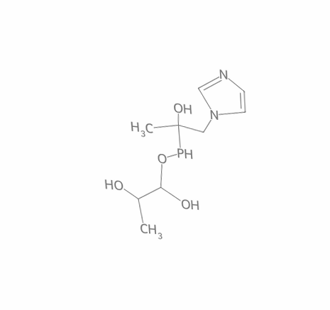 CC(O)C(O)OPC(C)(O)Cn1ccnc1